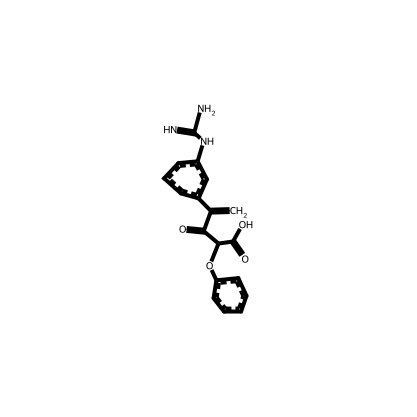 C=C(C(=O)C(Oc1ccccc1)C(=O)O)c1cccc(NC(=N)N)c1